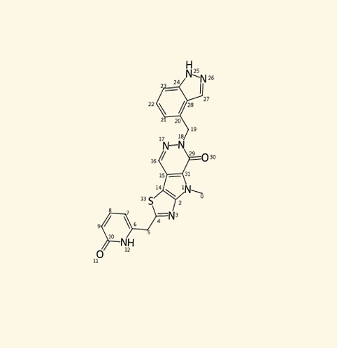 Cn1c2nc(Cc3cccc(=O)[nH]3)sc2c2cnn(Cc3cccc4[nH]ncc34)c(=O)c21